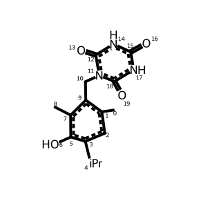 Cc1cc(C(C)C)c(O)c(C)c1Cn1c(=O)[nH]c(=O)[nH]c1=O